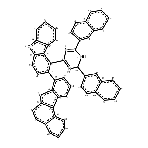 c1ccc2cc(C3=NC(c4c(-c5cccc6c5oc5ccc7ccccc7c56)ccc5oc6ccccc6c45)=NC(c4ccc5ccccc5c4)N3)ccc2c1